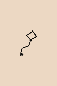 CC(C)CCN1C[CH]C1